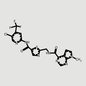 Cn1ccc2c(C(=O)NCc3ncc(C(=O)Nc4cc(C(F)(F)F)c(Cl)cn4)s3)ncnc21